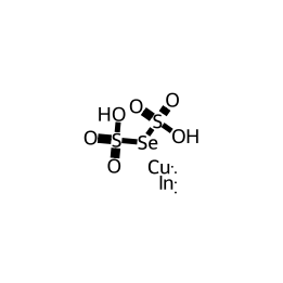 O=S(=O)(O)[Se]S(=O)(=O)O.[Cu].[In]